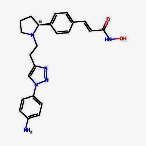 Nc1ccc(-n2cc(CCN3CCC[C@H]3c3ccc(C=CC(=O)NO)cc3)nn2)cc1